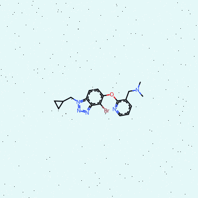 CN(C)Cc1cccnc1Oc1ccc2c(nnn2CC2CC2)c1Br